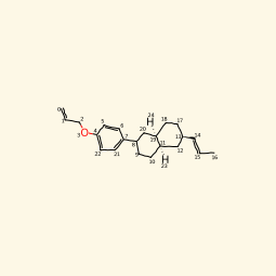 C=CCOc1ccc(C2CC[C@@H]3C[C@H](C=CC)CC[C@@H]3C2)cc1